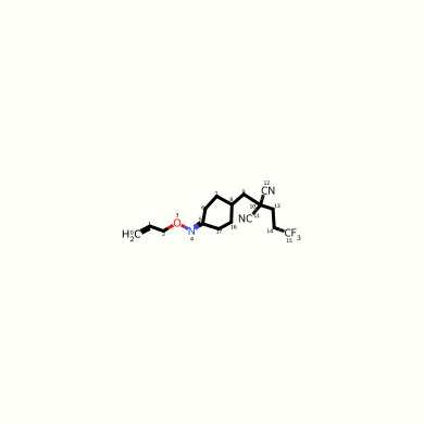 C=CCON=C1CCC(CC(C#N)(C#N)CCC(F)(F)F)CC1